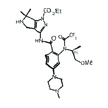 CCOC(=O)n1nc(NC(=O)c2ccc(N3CCN(C)CC3)cc2N(C(=O)C(F)(F)F)[C@@H](C)COC)c2c1C(C)(C)NC2